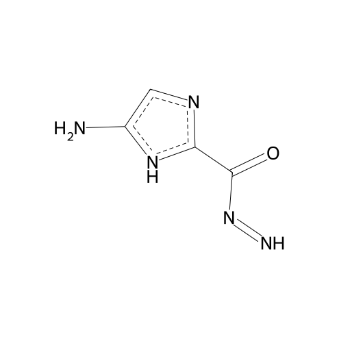 N=NC(=O)c1ncc(N)[nH]1